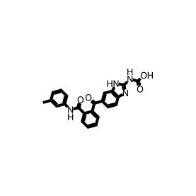 Cc1cccc(NC(=O)c2ccccc2C(=O)c2ccc3nc(NC(=O)O)[nH]c3c2)c1